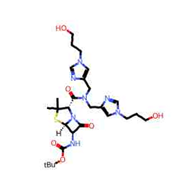 CC(C)(C)OC(=O)N[C@@H]1C(=O)N2[C@@H]1SC(C)(C)[C@@H]2C(=O)N(Cc1cn(CCCO)cn1)Cc1cn(CCCO)cn1